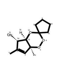 CC1=C[C@]2(C)OOC3(CCCC3)O[C@@H]2[C@H]1N=O